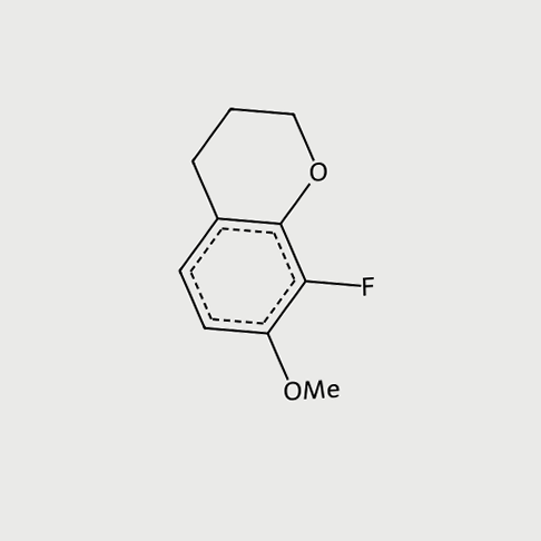 COc1ccc2c(c1F)OCCC2